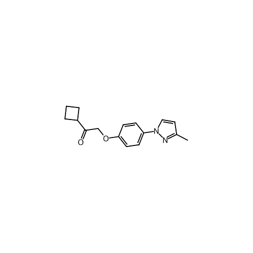 Cc1ccn(-c2ccc(OCC(=O)C3CCC3)cc2)n1